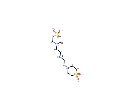 O=S1(=O)CCN(CCNCCN2CCS(=O)(=O)CC2)CC1